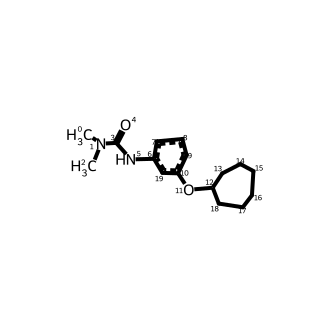 CN(C)C(=O)Nc1cccc(OC2CCCCCC2)c1